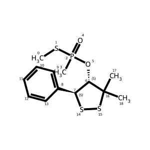 CSP(C)(=O)O[C@H]1[C@H](c2ccccc2)SSC1(C)C